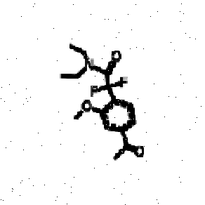 CCN(CC)C(=O)C(F)(F)c1ccc(C(C)=O)cc1OC